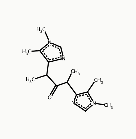 Cc1c(C(C)C(=O)C(C)c2ncn(C)c2C)ncn1C